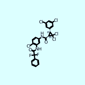 O=C(Nc1ccc(Cl)c(NC(=O)C(F)(F)c2ccccc2)c1)[C@H]1[C@H](c2cc(Cl)cc(Cl)c2)C1(Cl)Cl